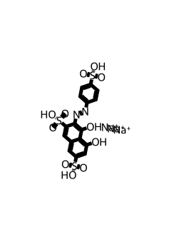 O=S(=O)(O)c1ccc(N=Nc2c(S(=O)(=O)O)cc3cc(S(=O)(=O)O)cc(O)c3c2O)cc1.[Na+].[Na+].[Na+]